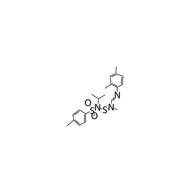 Cc1ccc(S(=O)(=O)N(SN(C)C=Nc2ccc(C)cc2C)C(C)C)cc1